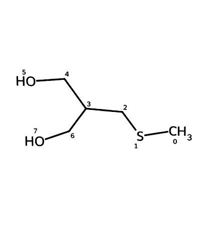 CSCC(CO)CO